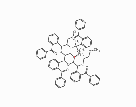 COCCOC(c1ccccc1C(=O)c1ccccc1)C(COC)OC(c1ccccc1C(=O)c1ccccc1)C(COC)OC(c1ccccc1C(=O)c1ccccc1)C(COC)OC(C)(C)c1ccccc1C(=O)c1ccccc1